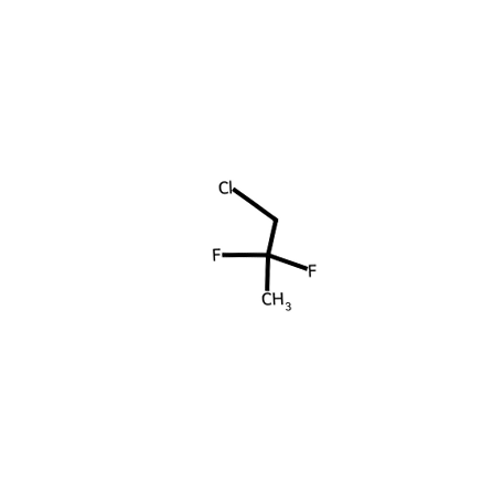 CC(F)(F)CCl